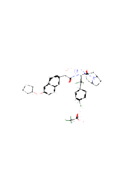 NC1CC2CCC(C1)N2C(=O)[C@H](NC(=O)[C@@H](O)c1ccc2cc(OC3CCCC3)ccc2c1)C(F)(F)c1ccc(Br)cc1.O=C(O)C(F)(F)F